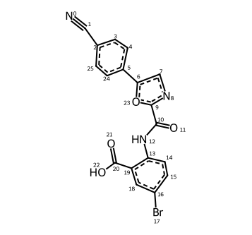 N#Cc1ccc(-c2cnc(C(=O)Nc3ccc(Br)cc3C(=O)O)o2)cc1